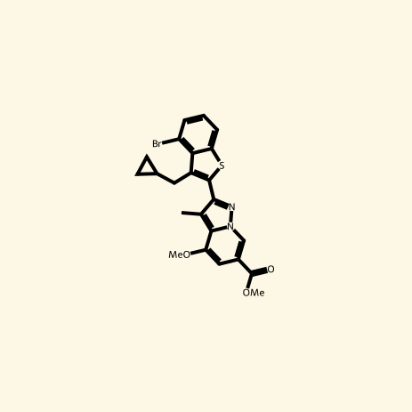 COC(=O)c1cc(OC)c2c(C)c(-c3sc4cccc(Br)c4c3CC3CC3)nn2c1